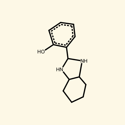 Oc1ccccc1C1NC2CCCCC2N1